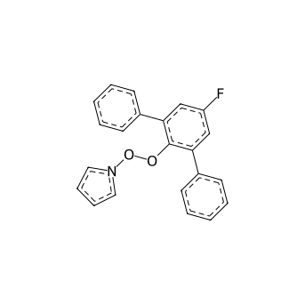 Fc1cc(-c2ccccc2)c(OOn2cccc2)c(-c2ccccc2)c1